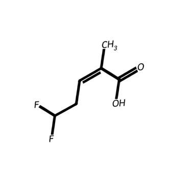 CC(=CCC(F)F)C(=O)O